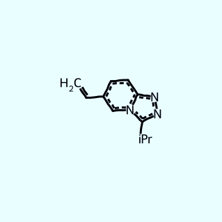 C=Cc1ccc2nnc(C(C)C)n2c1